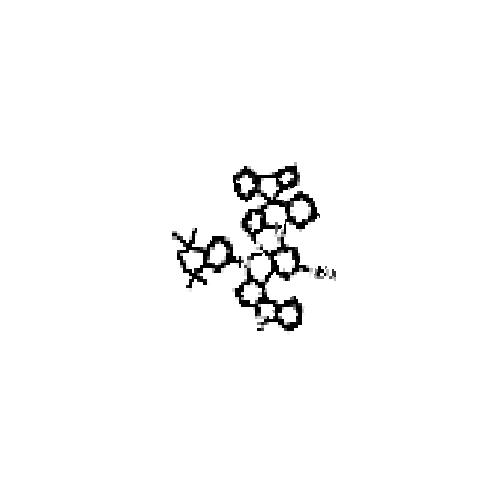 CCCCc1cc2c3c(c1)N1c4ccccc4C4(c5ccccc5-c5ccccc54)c4cccc(c41)B3N(c1ccc3c(c1)C(C)(C)CCC3(C)C)c1ccc3sc4ccccc4c3c1-2